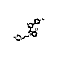 COc1ccc(-c2cncc(-c3cn(CCCN4CCN(C)CC4)c4cccc(Cl)c34)c2)cc1